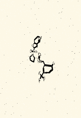 O=C(NCc1cc(C(F)(F)F)ccc1Cl)[C@@H]1CCCN1S(=O)(=O)c1cc2cnccc2o1